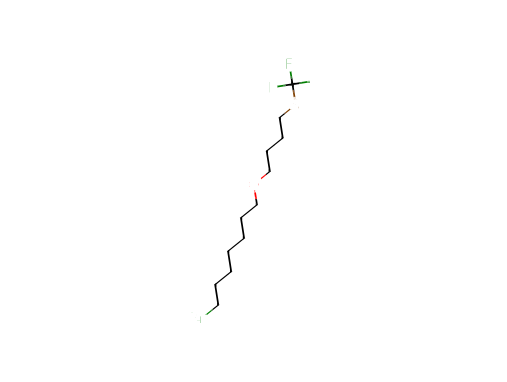 FC(F)(F)SCCCCOCCCCCCCBr